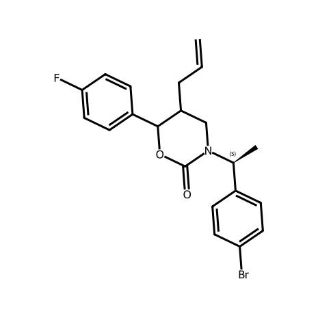 C=CCC1CN([C@@H](C)c2ccc(Br)cc2)C(=O)OC1c1ccc(F)cc1